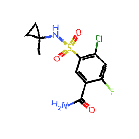 CC1(NS(=O)(=O)c2cc(C(N)=O)c(F)cc2Cl)CC1